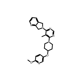 COc1ccc(OC2CCN(c3ncnc(N4Cc5cccnc5C4)c3C)CC2)cn1